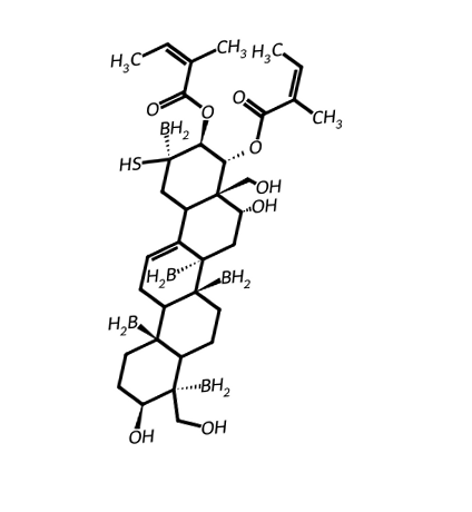 B[C@]12CC[C@H](O)[C@](B)(CO)C1CC[C@]1(B)C2CC=C2C3C[C@@](B)(S)[C@@H](OC(=O)/C(C)=C\C)[C@H](OC(=O)/C(C)=C\C)[C@]3(CO)[C@H](O)C[C@]21B